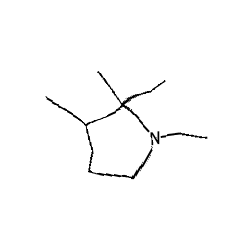 CC1CCN(C)C1(C)C